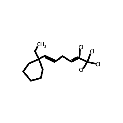 CCC1(C=CCC=C(Cl)C(Cl)(Cl)Cl)CCCCC1